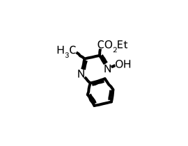 CCOC(=O)C(=NO)C(C)=Nc1ccccc1